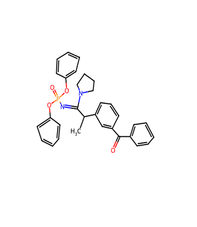 CC(C(=NP(=O)(Oc1ccccc1)Oc1ccccc1)N1CCCC1)c1cccc(C(=O)c2ccccc2)c1